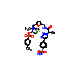 Cc1ccc(S(=O)(=O)O[C@@H](CF)[N+](C)(C)Cc2ccc(CNC(=O)C(C(C)C)n3cc(-c4ccc(S(N)(=O)=O)cc4)nn3)o2)cc1